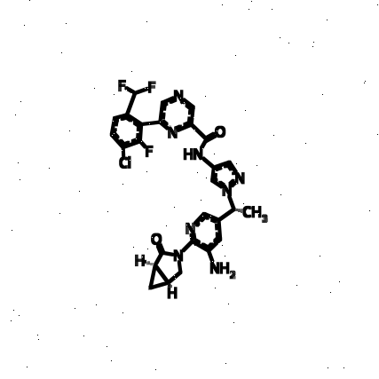 C[C@H](c1cnc(N2C[C@H]3C[C@H]3C2=O)c(N)c1)n1cc(NC(=O)c2cncc(-c3c(C(F)F)ccc(Cl)c3F)n2)cn1